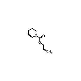 C=CCOC(=O)N1C=CCCC1